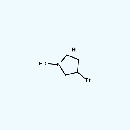 CCC1CCN(C)C1.I